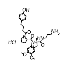 COc1ccc(C[C@](C)(NC(=O)[C@@H]2CCCN2C(=O)CCCc2ccc(O)cc2)C(=O)NCCCN)cc1OC.Cl